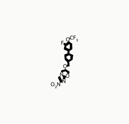 O=[N+]([O-])c1cn2c(n1)OC[C@@H](OCc1ccc(-c3ccc(OC(F)(F)F)c(F)c3)cc1)C2